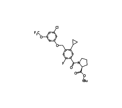 CC(C)(C)OC(=O)[C@@H]1CCCN1C(=O)c1cc(C2CC2)c(COc2cc(Cl)cc(OC(F)(F)F)c2)cc1F